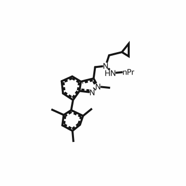 CCCNN(Cc1c2cccc(-c3c(C)cc(C)cc3C)c2nn1C)CC1CC1